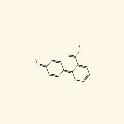 NNC(=O)C1=CC=CCC1=C1C=CC(=NO)C=C1